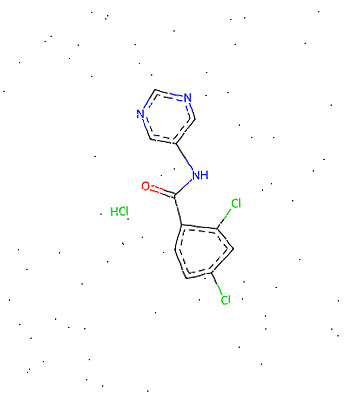 Cl.O=C(Nc1cncnc1)c1ccc(Cl)cc1Cl